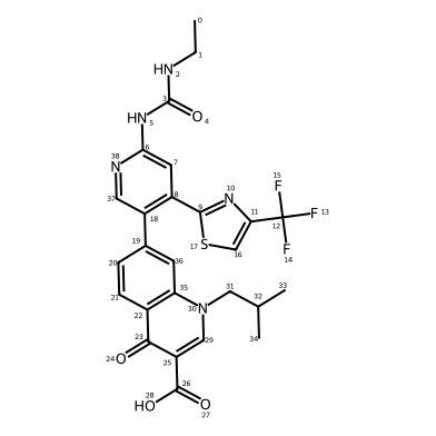 CCNC(=O)Nc1cc(-c2nc(C(F)(F)F)cs2)c(-c2ccc3c(=O)c(C(=O)O)cn(CC(C)C)c3c2)cn1